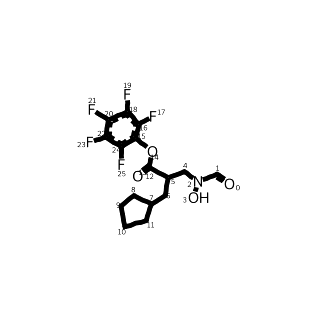 O=CN(O)CC(CC1CCCC1)C(=O)Oc1c(F)c(F)c(F)c(F)c1F